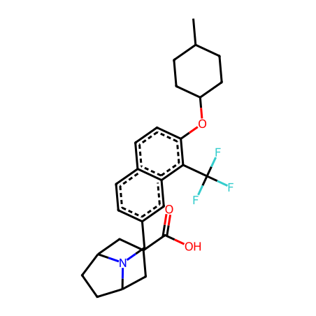 CC1CCC(Oc2ccc3ccc(CN4C5CCC4CC(C(=O)O)C5)cc3c2C(F)(F)F)CC1